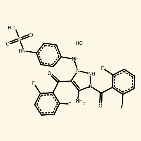 CS(=O)(=O)Nc1ccc(NN2NN(C(=O)c3c(F)cccc3F)C(N)=C2C(=O)c2c(F)cccc2F)cc1.Cl